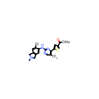 CCc1cc2c(cc1Nc1ncc(C(F)(F)F)c(-c3cc(C(=O)OC)cs3)n1)CN(C)C2